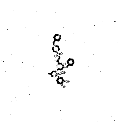 CC(C)CN(C[C@@H](O)[C@H](Cc1ccccc1)NC(=O)[C@H](C)CS(=O)(=O)N1CCN(Cc2ccncc2)CC1)S(=O)(=O)c1ccc(O)c(O)c1